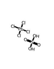 O=S(=O)(O)O.[Cl][Pb]([Cl])([Cl])[Cl]